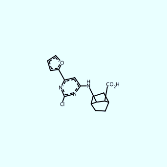 O=C(O)C1C2CCC(CC2)C1Nc1cc(-c2ccco2)nc(Cl)n1